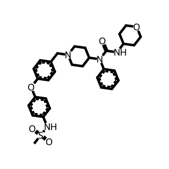 CS(=O)(=O)Nc1ccc(Oc2ccc(CN3CCC(N(C(=O)NC4CCOCC4)c4ccccc4)CC3)cc2)cc1